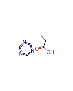 CCC(=O)O.c1ncncn1